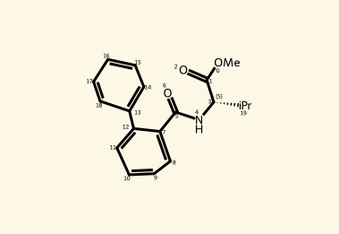 COC(=O)[C@@H](NC(=O)c1ccccc1-c1ccccc1)C(C)C